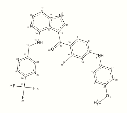 COc1ccc(Nc2ccc(C(=O)c3c[nH]c4ncnc(NCc5ccc(C(F)(F)F)nc5)c34)c(F)n2)cn1